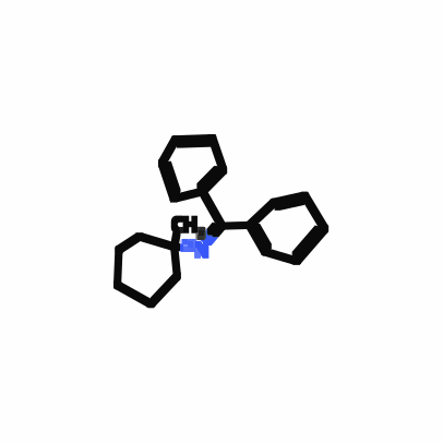 CC1([15N]=C(c2ccccc2)c2ccccc2)CCCCC1